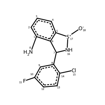 Nc1cccc2c1C(c1cc(F)ccc1Cl)N[S+]2[O-]